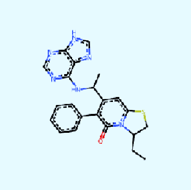 CCC1CSc2cc(C(C)Nc3ncnc4[nH]cnc34)c(-c3ccccc3)c(=O)n21